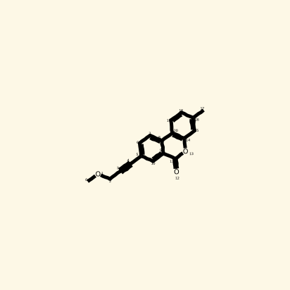 COCC#Cc1ccc2c(c1)c(=O)oc1cc(C)ccc12